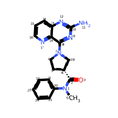 CN(C(=O)[C@@H]1CCN(c2nc(N)nc3cccnc23)C1)c1ccccc1